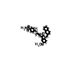 COc1ccc2c(c1)C(=NNC(=S)Nc1ccc(S(N)(=O)=O)cc1)C(=O)N2Cc1ccc2ccccc2c1